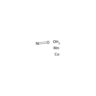 O.[Co].[Mn].[O]=[Ni]